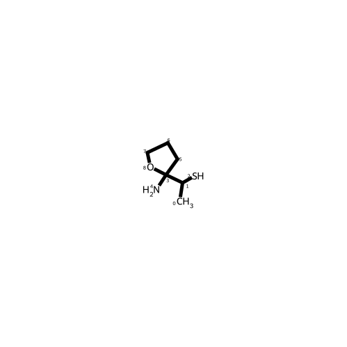 CC(S)C1(N)CCCO1